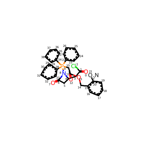 O=C(Cl)CC1CC(=O)N1P(CC(=O)OCc1ccccc1[N+](=O)[O-])(c1ccccc1)(c1ccccc1)c1ccccc1